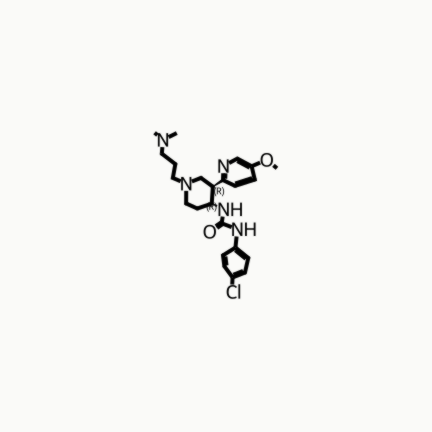 COc1ccc([C@@H]2CN(CCCN(C)C)CC[C@H]2NC(=O)Nc2ccc(Cl)cc2)nc1